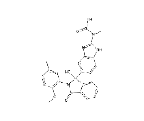 COc1ccc(C)cc1N1C(=O)c2ccccc2C1(O)c1ccc2[nH]c(N(C)C(=O)O)nc2c1